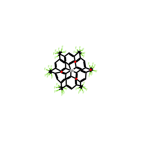 FC(F)(F)c1cc(C(F)(F)F)c[c]([Sb-]([c]2cc(C(F)(F)F)cc(C(F)(F)F)c2)([c]2cc(C(F)(F)F)cc(C(F)(F)F)c2)([c]2cc(C(F)(F)F)cc(C(F)(F)F)c2)([c]2cc(C(F)(F)F)cc(C(F)(F)F)c2)[c]2cc(C(F)(F)F)cc(C(F)(F)F)c2)c1